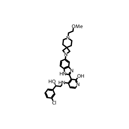 COCCN1CCC2(CC1)CN(c1ccc3[nH]c(-c4c(NC[C@H](O)c5cccc(Cl)c5)ccnc4O)nc3c1)C2